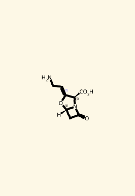 NC/C=C1\O[C@H]2CC(=O)N2[C@@H]1C(=O)O